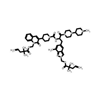 C=CCC(C)(C)C(=O)OCn1cc2cc(CC(NC(=O)N3CCC(c4cc5ccccc5n(COC(=O)C(C)(C)CC=C)c4=O)CC3)C(=O)N3CCN(C4CCN(C)CC4)CC3)cc(C)c2n1